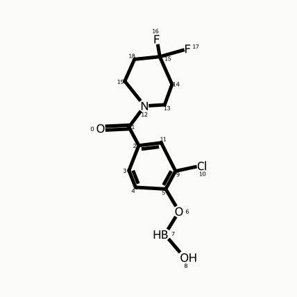 O=C(c1ccc(OBO)c(Cl)c1)N1CCC(F)(F)CC1